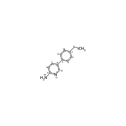 CCc1ccc(-c2ccc(N)nc2)cc1